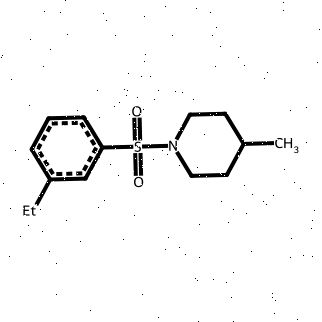 CCc1cccc(S(=O)(=O)N2CCC(C)CC2)c1